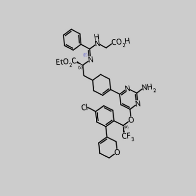 CCOC(=O)[C@H](CC1CC=C(c2cc(O[C@H](c3ccc(Cl)cc3C3=CCCOC3)C(F)(F)F)nc(N)n2)CC1)/N=C(/NCC(=O)O)c1ccccc1